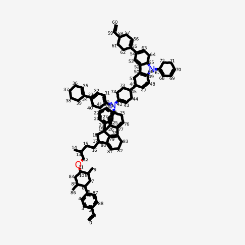 C=Cc1ccc(C2CC(C)C(OCC(C)CCC3CC4(c5ccccc5)C5=CC(N(C6=CC=C(C7=CCCCC7)CC6)C6=CCC(C7C=CC8=C(C7)C7=CC(C9=CCC(C=C)CC9)=CCC7N8C7=CC=CCC7)CC6)CC=C5C5=C4C3=CCC5)CC2C)cc1